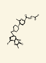 Cc1nc(C(=O)NCC(F)F)ccc1N1CCN(Cc2cc(F)c3nc(C)c(=O)[nH]c3c2)CC1